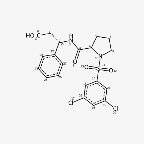 O=C(O)C[C@H](NC(=O)C1CCCN1S(=O)(=O)c1cc(Cl)cc(Cl)c1)c1ccccc1